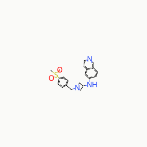 CS(=O)(=O)c1ccc(CN2CC(Nc3ccc4cnccc4c3)C2)cc1